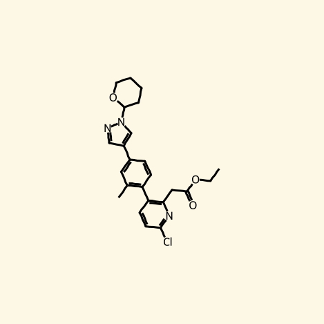 CCOC(=O)Cc1nc(Cl)ccc1-c1ccc(-c2cnn(C3CCCCO3)c2)cc1C